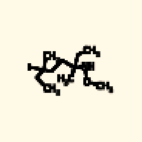 CCC(C)(I)CCC(C)(CC)NOC